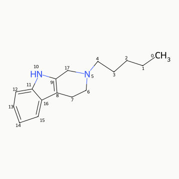 CCCCCN1CCc2c([nH]c3ccccc23)C1